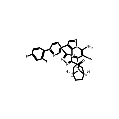 CC(=O)c1c([C@H]2C[C@H]3CC[C@@H](C2)N3C(=O)c2nnc(C)[nH]2)nc2c(-c3ccc(-c4ccc(F)cc4F)nc3)cnn2c1N